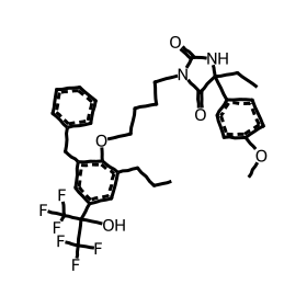 CCCc1cc(C(O)(C(F)(F)F)C(F)(F)F)cc(Cc2ccccc2)c1OCCCCN1C(=O)NC(CC)(c2ccc(OC)cc2)C1=O